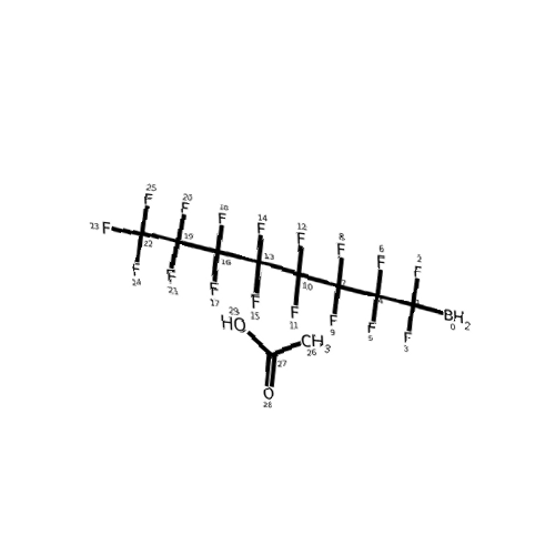 BC(F)(F)C(F)(F)C(F)(F)C(F)(F)C(F)(F)C(F)(F)C(F)(F)C(F)(F)F.CC(=O)O